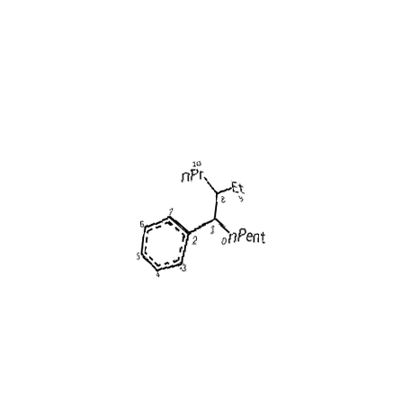 CCCCCC(c1[c]cccc1)C(CC)CCC